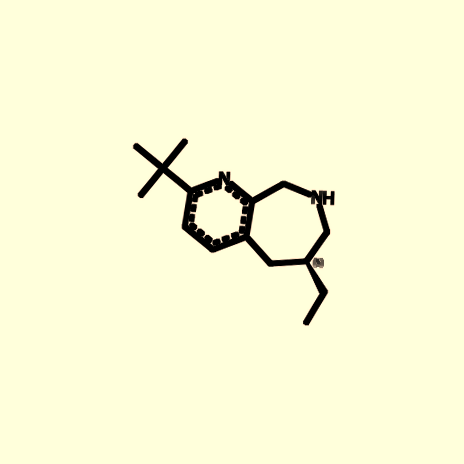 CC[C@@H]1CNCc2nc(C(C)(C)C)ccc2C1